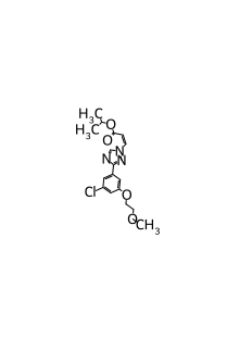 COCCOc1cc(Cl)cc(-c2ncn(/C=C\C(=O)OC(C)C)n2)c1